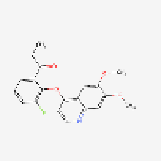 CCC(=O)c1cccc(F)c1Oc1ccnc2cc(OC)c(OC)cc12